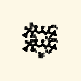 CSN(N=C([O-])CC(=O)N(C)[N+](C)([S-])C1CC1)C1(C)CC1.CSN(N=C([O-])CC(=O)N(C)[N+](C)([S-])C1CC1)C1(C)CC1.[Na+].[Na+]